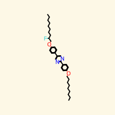 CCCCCCCCCOc1ccc(-c2ncc(-c3ccc(OCC(F)CCCCCCCC)cc3)cn2)cc1